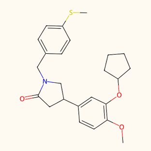 COc1ccc(C2CC(=O)N(Cc3ccc(SC)cc3)C2)cc1OC1CCCC1